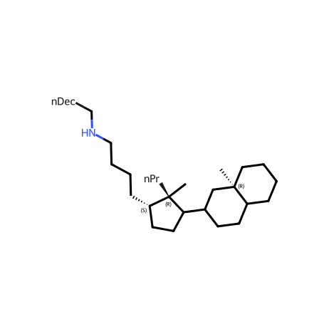 CCCCCCCCCCCNCCCC[C@H]1CCC(C2CCC3CCCC[C@]3(C)C2)[C@]1(C)CCC